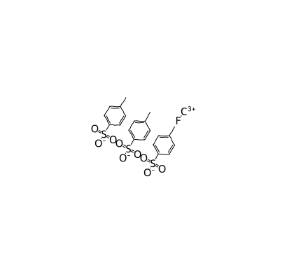 Cc1ccc(S(=O)(=O)[O-])cc1.Cc1ccc(S(=O)(=O)[O-])cc1.Cc1ccc(S(=O)(=O)[O-])cc1.[C+3]F